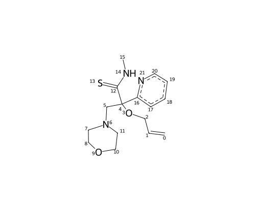 C=CCOC(CN1CCOCC1)(C(=S)NC)c1ccccn1